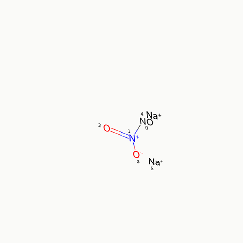 O=N[N+](=O)[O-].[Na+].[Na+]